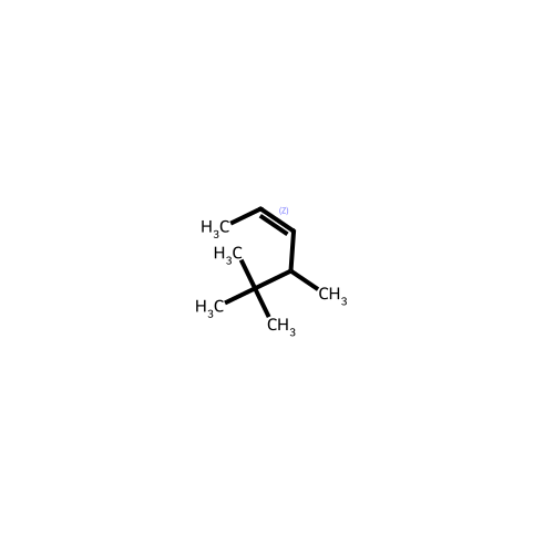 C/C=C\C(C)C(C)(C)C